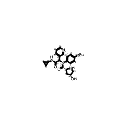 CC(C)(C)c1ccc(N(C(=O)[C@H]2C[C@@H](O)CN2)C(C(=O)NC2CC2)c2cccnc2)cc1